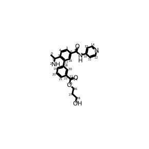 CC(N)c1ccc(C(=O)Nc2ccncc2)cc1-c1cccc(C(=O)OCCCO)c1